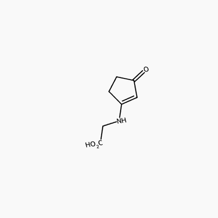 O=C(O)CNC1=CC(=O)CC1